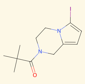 CC(C)(C)C(=O)N1CCn2c(I)ccc2C1